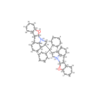 c1ccc(C(c2ccccc2)(c2cn3c4oc5ccccc5c4c4cccc2c43)c2cn3c4oc5ccccc5c4c4cccc2c43)cc1